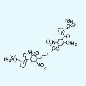 COc1cc(CCCCCOOc2cc(OC)c(C(=O)N3CCC[C@H]3CO[Si](C)(C)C(C)(C)C)cc2[N+](=O)[O-])c([N+](=O)[O-])cc1C(=O)N1CCC[C@H]1CO[Si](C)(C)C(C)(C)C